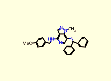 COc1ccc(CNc2ncc(N=C(c3ccccc3)c3ccccc3)c3c2cnn3C)cc1